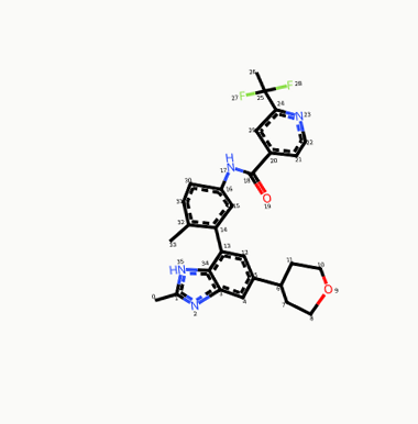 Cc1nc2cc(C3CCOCC3)cc(-c3cc(NC(=O)c4ccnc(C(C)(F)F)c4)ccc3C)c2[nH]1